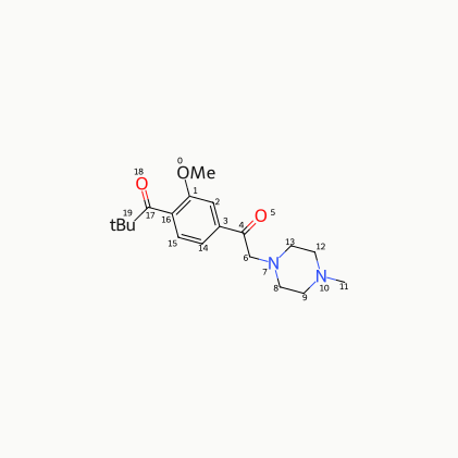 COc1cc(C(=O)CN2CCN(C)CC2)ccc1C(=O)C(C)(C)C